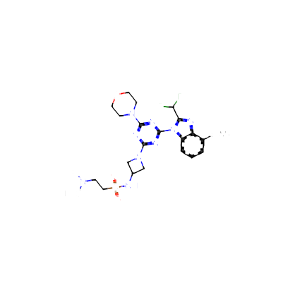 COc1cccc2c1nc(C(F)F)n2-c1nc(N2CCOCC2)nc(N2CC(NS(=O)(=O)CCN(C)C)C2)n1